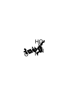 C=CC(C)C(=O)N1CCN(c2ccc(-c3cc(OC[C@H](O)CC)cn4ncc(C#N)c34)cn2)CC1